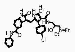 CCN(CC)CC(O)CNC(=O)c1c(C)[nH]c(C=C2C(=O)Nc3ccc(C(=O)Nc4ccccc4)cc32)c1-c1ccc(Cl)cc1